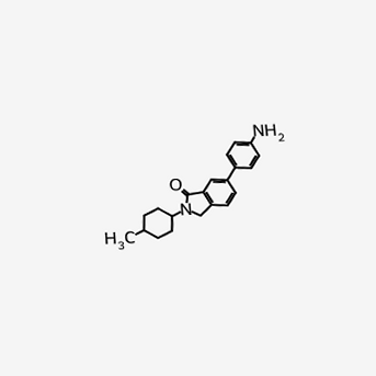 CC1CCC(N2Cc3ccc(-c4ccc(N)cc4)cc3C2=O)CC1